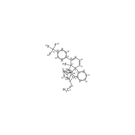 C=CCOC(=O)C1(c2ccccc2)C=CC=C(c2ccc(C(F)(F)F)cc2)C1(F)n1cncn1